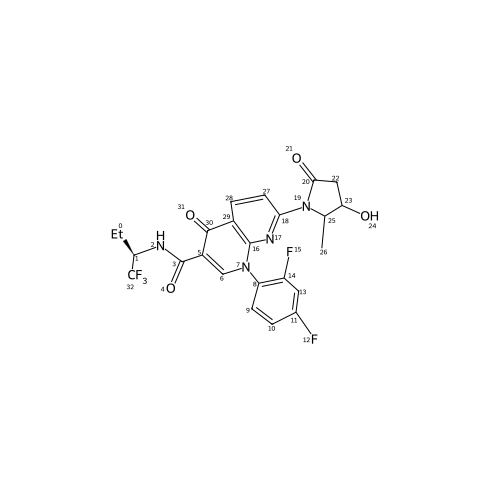 CC[C@@H](NC(=O)c1cn(-c2ccc(F)cc2F)c2nc(N3C(=O)CC(O)C3C)ccc2c1=O)C(F)(F)F